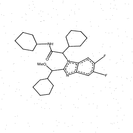 COC(c1nc2cc(F)c(F)cc2n1C(C(=O)NC1CCCCC1)C1CCCCC1)C1CCCCC1